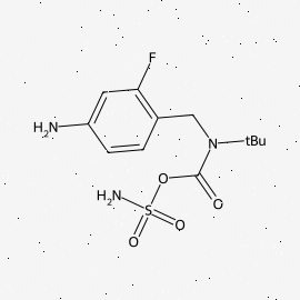 CC(C)(C)N(Cc1ccc(N)cc1F)C(=O)OS(N)(=O)=O